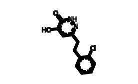 O=c1[nH]nc(CCc2ccccc2Cl)cc1O